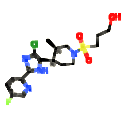 C[C@H]1CN(S(=O)(=O)CCCO)CC[C@H]1c1[nH]c(-c2ccc(F)cn2)nc1Cl